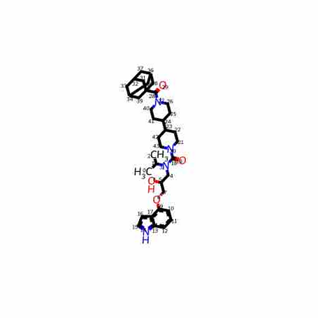 CC(C)N(CC(O)COc1cccc2[nH]ccc12)C(=O)N1CCC(C2CCN(C(=O)C34CC5CC(CC(C5)C3)C4)CC2)CC1